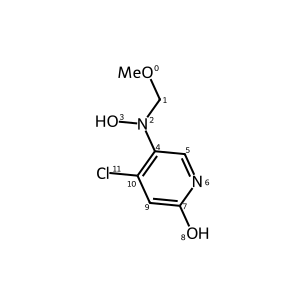 COCN(O)c1cnc(O)cc1Cl